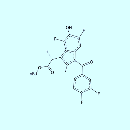 CCCCOC(=O)[C@H](C)c1c(C)n(C(=O)c2ccc(F)c(F)c2)c2cc(F)c(O)c(F)c12